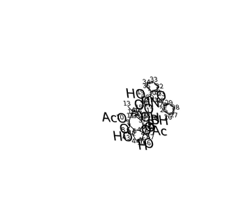 B=BO[C@H]1C2[C@](C)(C(=O)[C@H](OC(C)=O)C3=C(C)[C@@H](OC(=O)[C@H](O)[C@@H](NC(=O)c4ccccc4)c4ccccc4)C[C@]1(O)C3(C)C)[C@@H](O)C[C@H]1OC[C@@]21OC(C)=O